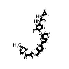 CN1CCN(C(=O)C2CN(Cc3ccc(-c4cc5nccc(Oc6ccc(NC(=O)NC7CC7)cc6F)c5s4)nc3)C2)CC1